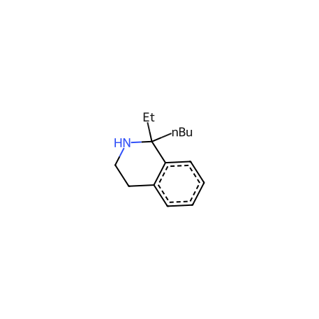 CCCCC1(CC)NCCc2ccccc21